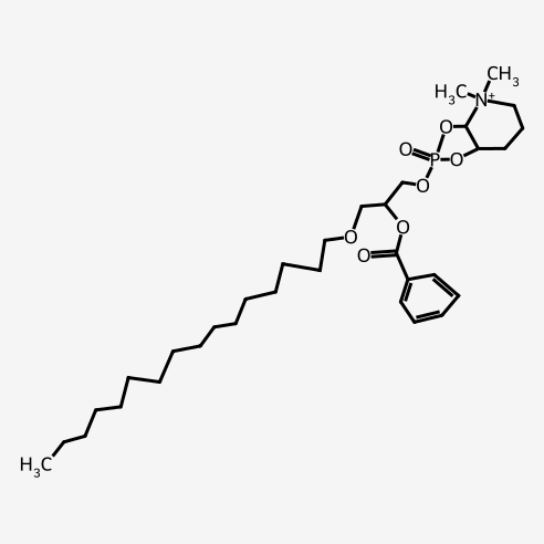 CCCCCCCCCCCCCCCCOCC(COP1(=O)OC2CCC[N+](C)(C)C2O1)OC(=O)c1ccccc1